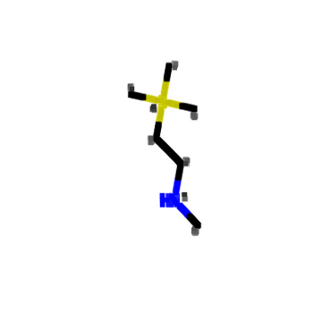 CNCCS(C)(C)C